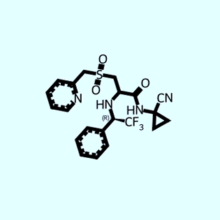 N#CC1(NC(=O)C(CS(=O)(=O)Cc2ccccn2)N[C@H](c2ccccc2)C(F)(F)F)CC1